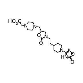 O=C(O)CN1CCN(CC2CN(CCC3CCN(c4noc(=O)[nH]4)CC3)C(=O)O2)CC1